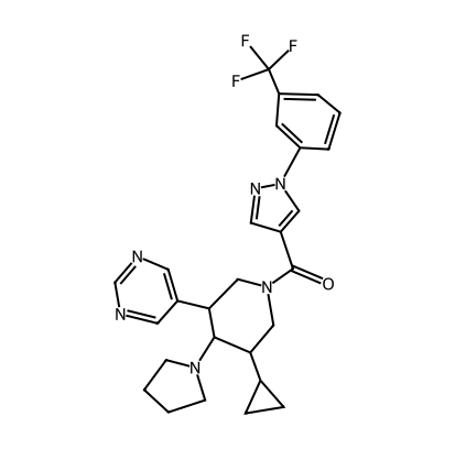 O=C(c1cnn(-c2cccc(C(F)(F)F)c2)c1)N1CC(c2cncnc2)C(N2CCCC2)C(C2CC2)C1